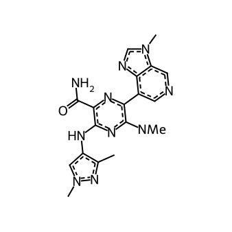 CNc1nc(Nc2cn(C)nc2C)c(C(N)=O)nc1-c1cncc2c1ncn2C